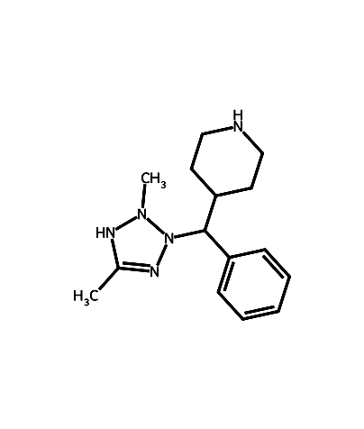 CC1=NN(C(c2ccccc2)C2CCNCC2)N(C)N1